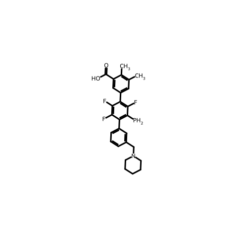 Cc1cc(-c2c(F)c(F)c(-c3cccc(CN4CCCCC4)c3)c(P)c2F)cc(C(=O)O)c1C